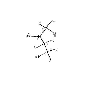 [Li][C](C)(C)C(C)(C)N(C(C)C)C(C)(C)CC